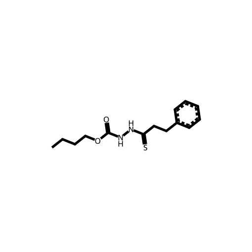 CCCCOC(=O)NNC(=S)CCc1ccccc1